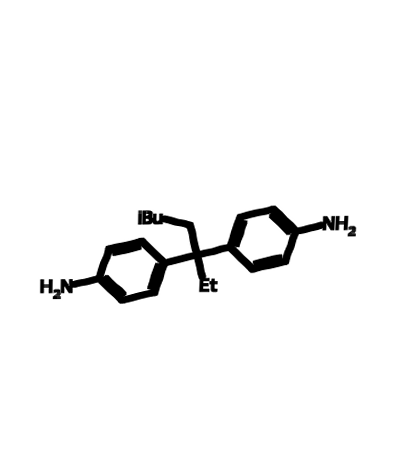 CCC(C)CC(CC)(c1ccc(N)cc1)c1ccc(N)cc1